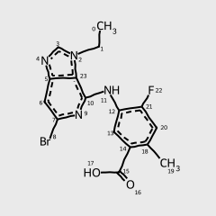 CCn1cnc2cc(Br)nc(Nc3cc(C(=O)O)c(C)cc3F)c21